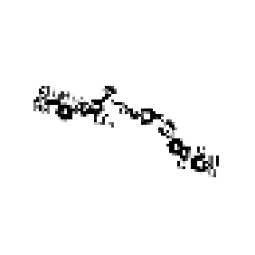 C[C@H](c1cccc(-n2cc3c(C(F)(F)F)cc(-c4nccn4CCOCCN4CCC(CN5CCN(c6ccc7c(c6)CN(C6CCC(=O)NC6=O)C7=O)CC5)CC4)cn3c2=O)c1)c1nncn1C